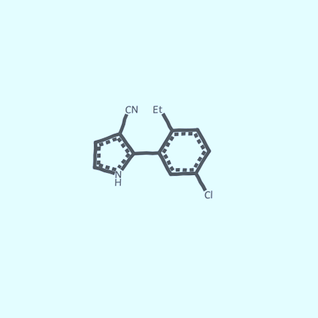 CCc1ccc(Cl)cc1-c1[nH]ccc1C#N